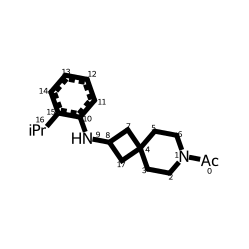 CC(=O)N1CCC2(CC1)CC(Nc1ccccc1C(C)C)C2